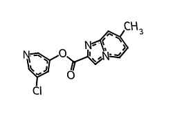 Cc1ccn2cc(C(=O)Oc3cncc(Cl)c3)nc2c1